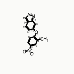 Cc1cc([N+](=O)[O-])ccc1Oc1ccc2csnc2c1